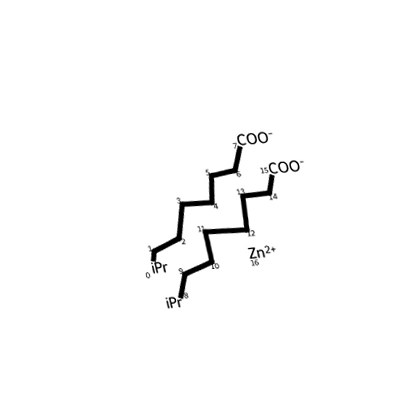 CC(C)CCCCCCC(=O)[O-].CC(C)CCCCCCC(=O)[O-].[Zn+2]